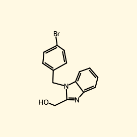 OCc1nc2ccccc2n1Cc1ccc(Br)cc1